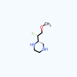 COC[C@@H](F)[C@@H]1CNCCN1